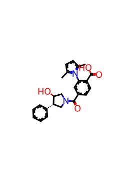 Cc1ccc(C)n1-c1cc(C(=O)N2C[C@H](c3ccccc3)[C@@H](O)C2)ccc1C(=O)O